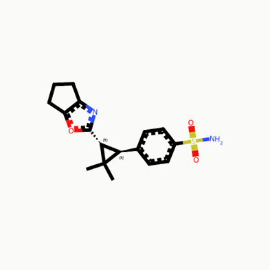 CC1(C)[C@H](c2ccc(S(N)(=O)=O)cc2)[C@H]1c1nc2c(o1)CCC2